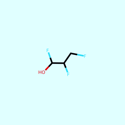 OC(F)C(F)CF